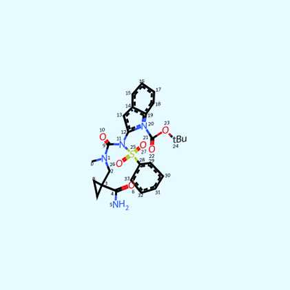 CN(CC1(C(N)=O)CC1)C(=O)N(c1cc2ccccc2n1C(=O)OC(C)(C)C)S(=O)(=O)c1ccccc1